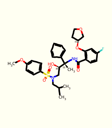 COc1ccc(S(=O)(=O)N(CC(C)C)C[C@@H](O)[C@@](C)(NC(=O)c2ccc(F)cc2O[C@H]2CCOC2)c2ccccc2)cc1